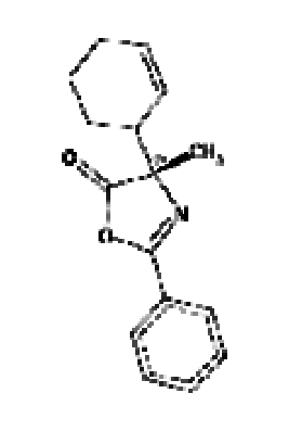 C[C@@]1(C2C=CCCC2)N=C(c2ccccc2)OC1=O